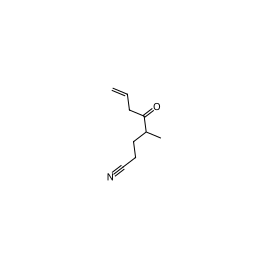 C=CCC(=O)C(C)CCC#N